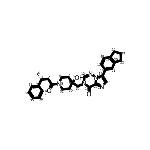 C[C@H](CC(=O)N1CCC(O)(Cn2cnn3c(-c4ccc5c(c4)C[CH]C5)cnc3c2=O)CC1)c1ccccc1